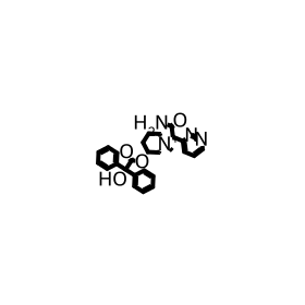 C[N+]1(C(C(N)=O)c2cccnn2)CCC[C@@H](OC(=O)C(O)(c2ccccc2)c2ccccc2)C1